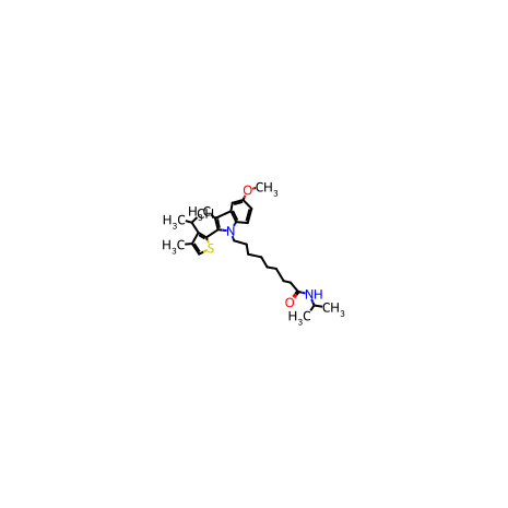 COc1ccc2c(c1)c(C)c(-c1scc(C)c1C(C)C)n2CCCCCCCCC(=O)NC(C)C